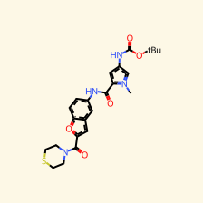 Cn1cc(NC(=O)OC(C)(C)C)cc1C(=O)Nc1ccc2oc(C(=O)N3CCSCC3)cc2c1